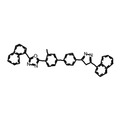 Cc1cc(-c2ccc(C3=NN=C(c4cccc5ccccc45)C3)cc2)ccc1-c1nnc(-c2cccc3ccccc23)o1